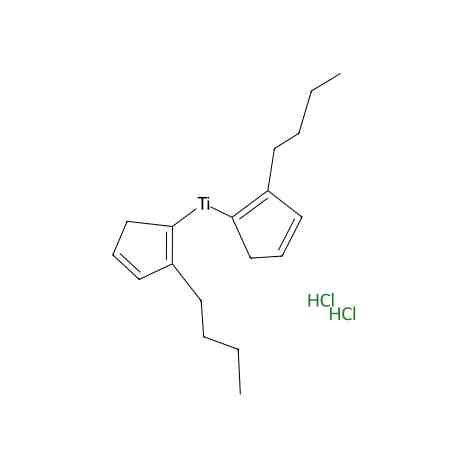 CCCCC1=[C]([Ti][C]2=C(CCCC)C=CC2)CC=C1.Cl.Cl